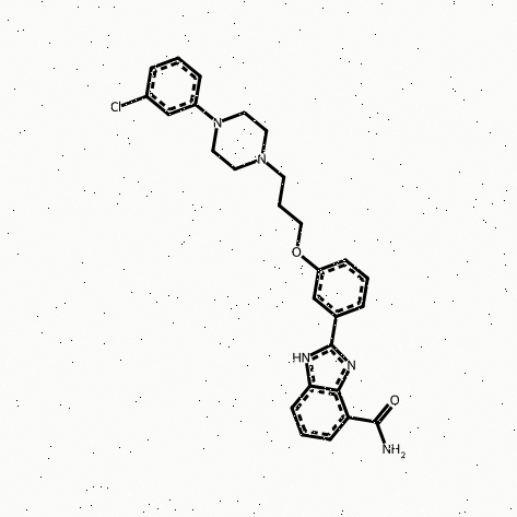 NC(=O)c1cccc2[nH]c(-c3cccc(OCCCN4CCN(c5cccc(Cl)c5)CC4)c3)nc12